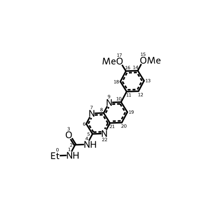 CCNC(=O)Nc1cnc2nc(-c3ccc(OC)c(OC)c3)ccc2n1